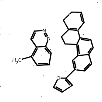 C1=CC2=C(CC1)CCc1c2ccc2ccc(-c3ccco3)cc12.Cc1cccc2nnccc12